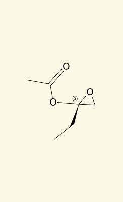 CC[C@]1(OC(C)=O)CO1